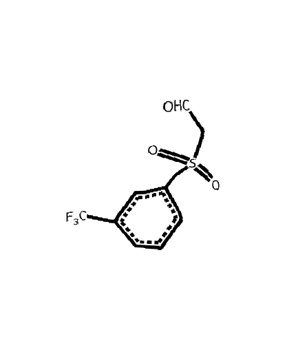 O=CCS(=O)(=O)c1cccc(C(F)(F)F)c1